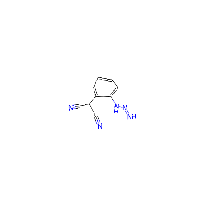 N#CC(C#N)c1ccccc1NN=N